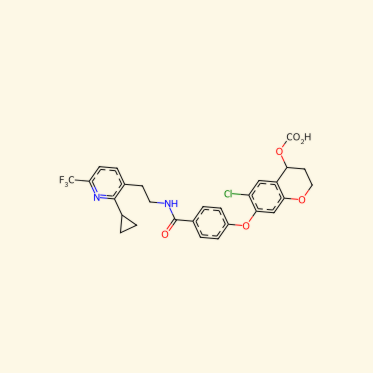 O=C(O)OC1CCOc2cc(Oc3ccc(C(=O)NCCc4ccc(C(F)(F)F)nc4C4CC4)cc3)c(Cl)cc21